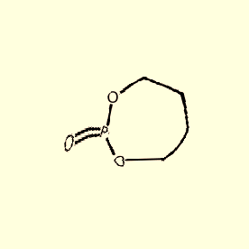 O=[P]1OCCCCO1